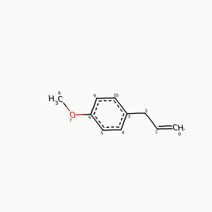 [CH]=CCc1ccc(OC)cc1